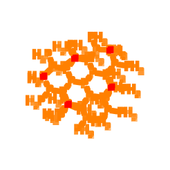 PPP(P(P)P)P(P(P(P)P)P(P)P)P(P(P(P(P)P)P(P)P)P(P(P)P)P(P)P)P(P(P(P)P)P(P)P)P(P(P)P)P(P)P